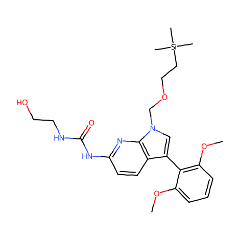 COc1cccc(OC)c1-c1cn(COCC[Si](C)(C)C)c2nc(NC(=O)NCCO)ccc12